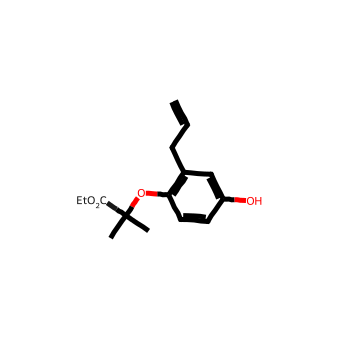 C=CCc1cc(O)ccc1OC(C)(C)C(=O)OCC